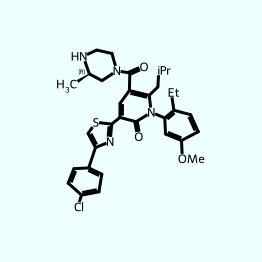 CCc1ccc(OC)cc1-n1c(CC(C)C)c(C(=O)N2CCN[C@H](C)C2)cc(-c2nc(-c3ccc(Cl)cc3)cs2)c1=O